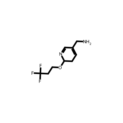 NCC1=CCC(OCCC(F)(F)F)N=C1